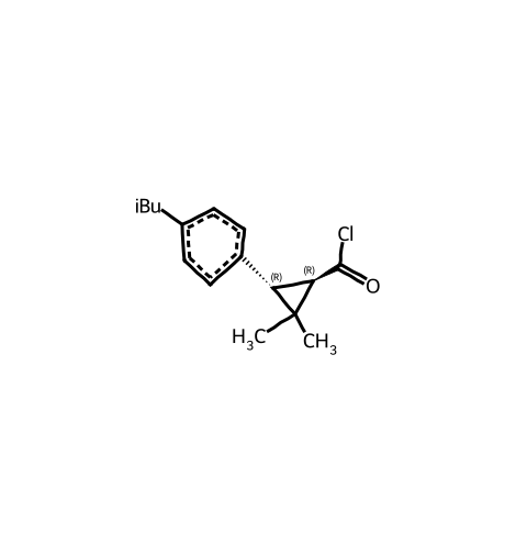 CCC(C)c1ccc([C@@H]2[C@@H](C(=O)Cl)C2(C)C)cc1